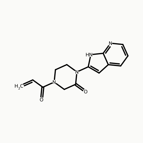 C=CC(=O)N1CCN(c2cc3cccnc3[nH]2)C(=O)C1